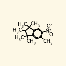 Cc1cc2c(cc1[N+](=O)[O-])C(C)(C)C(C)C2(C)C